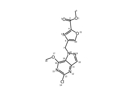 COC(=O)c1nc(Cn2ncc3nc(Cl)nc(OC)c32)co1